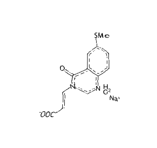 CSc1ccc2ncn(/C=C/C(=O)[O-])c(=O)c2c1.O.[Na+]